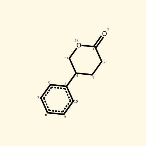 O=C1CCC(c2ccccc2)CO1